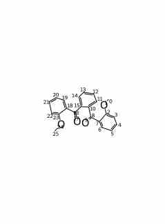 COc1ccccc1C(=O)c1ccccc1C(=O)c1ccccc1OC